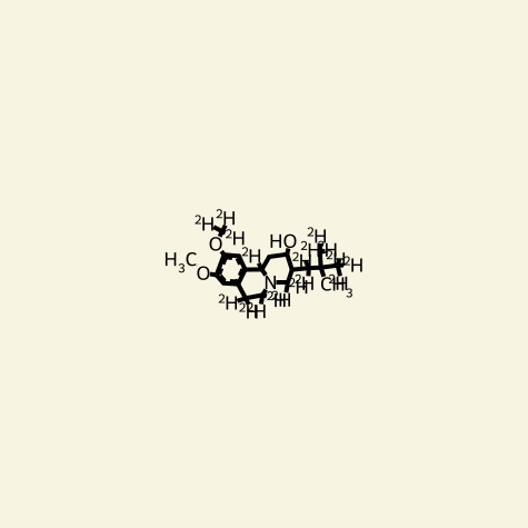 [2H]C([2H])([2H])Oc1cc2c(cc1OC)C([2H])([2H])C([2H])([2H])N1C2([2H])CC(O)C(C([2H])([2H])C(C)(C([2H])([2H])[2H])C([2H])([2H])[2H])C1([2H])[2H]